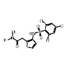 CCN(CC)C(=O)Cc1sccc1NS(=O)(=O)c1c(Cl)cc(Cl)cc1Cl